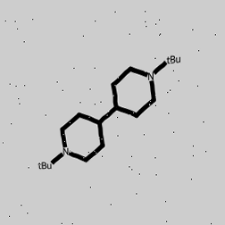 CC(C)(C)N1CCC(C2CCN(C(C)(C)C)CC2)CC1